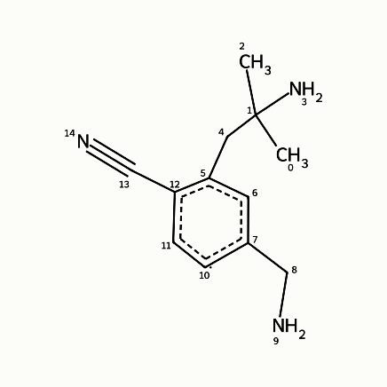 CC(C)(N)Cc1cc(CN)[c]cc1C#N